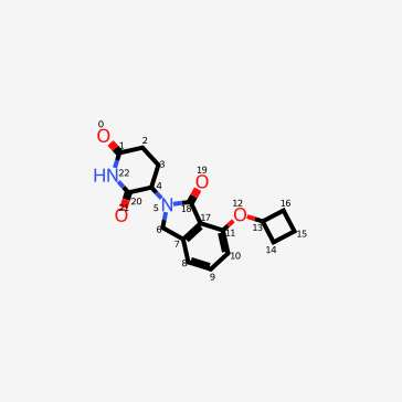 O=C1CCC(N2Cc3cccc(OC4CCC4)c3C2=O)C(=O)N1